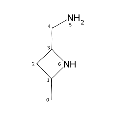 CC1CC(CN)N1